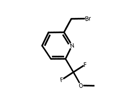 COC(F)(F)c1cccc(CBr)n1